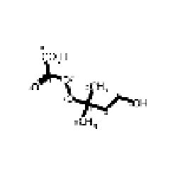 CC(C)(CCO)OOC(=O)C(=O)O